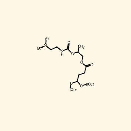 [CH2]C(COC(=O)CCC(OCCCCCCCC)OCCCCCCCC)OC(=O)NCCN(CC)CC